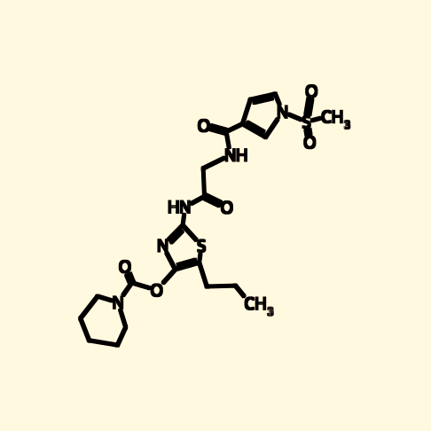 CCCc1sc(NC(=O)CNC(=O)c2ccn(S(C)(=O)=O)c2)nc1OC(=O)N1CCCCC1